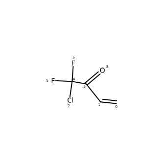 C=CC(=O)C(F)(F)Cl